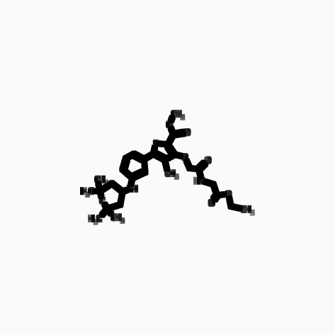 CCOC(=O)CNC(=O)COc1c(C(=O)OC)sc(-c2cccc(NC3CC(C)(C)CC(C)(C)C3)c2)c1C